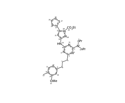 CCCN(CCC)c1nc(CCCc2ccc(C)c(OC)c2)nc(Nc2cc(-c3cccs3)n(C(=O)OCC)n2)n1